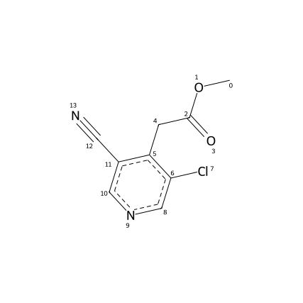 COC(=O)Cc1c(Cl)cncc1C#N